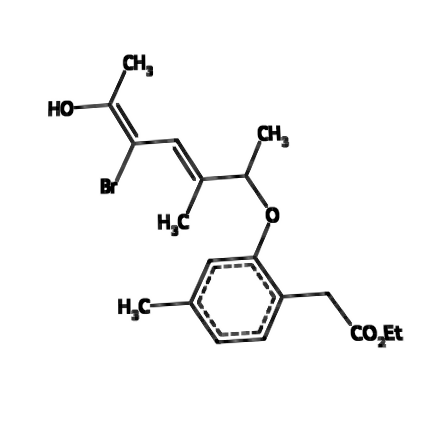 CCOC(=O)Cc1ccc(C)cc1OC(C)/C(C)=C/C(Br)=C(\C)O